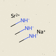 C[NH-].C[NH-].C[NH-].[Na+].[Sr+2]